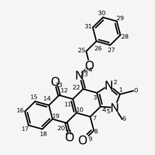 Cc1nc2c(n1C)C(C=O)C1=C(C(=O)c3ccccc3C1=O)/C2=N/OCc1ccccc1